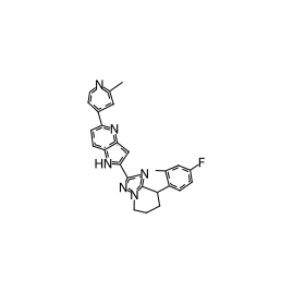 Cc1cc(-c2ccc3[nH]c(-c4nc5n(n4)CCCC5c4ccc(F)cc4C)cc3n2)ccn1